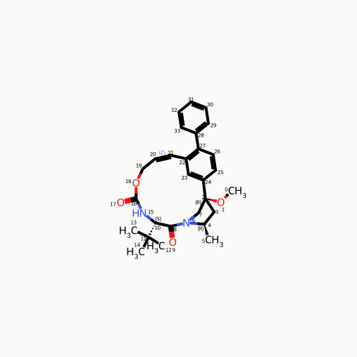 CO[C@@]12C[C@@H](C)N(C1)C(=O)[C@H](C(C)(C)C)NC(=O)OC/C=C\c1cc2ccc1-c1ccccc1